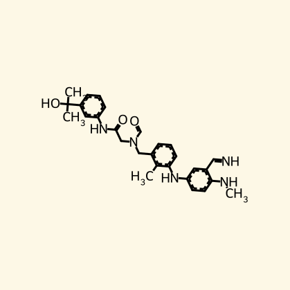 CNc1ccc(Nc2cccc(CN(C=O)CC(=O)Nc3cccc(C(C)(C)O)c3)c2C)cc1C=N